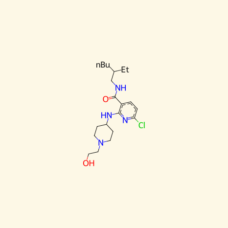 CCCCC(CC)CNC(=O)c1ccc(Cl)nc1NC1CCN(CCO)CC1